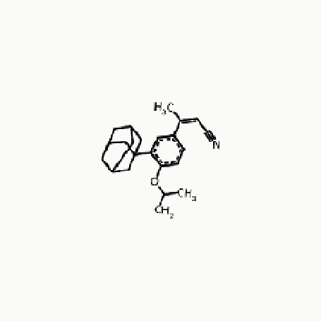 C/C(=C/C#N)c1ccc(OC(C)C)c(C23CC4CC(CC(C4)C2)C3)c1